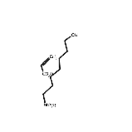 C=CC(=O)O.CCCCCCCCCCCCCCO